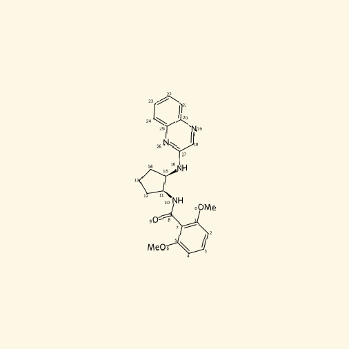 COc1cccc(OC)c1C(=O)N[C@H]1CCC[C@H]1Nc1cnc2ccccc2n1